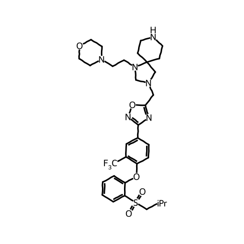 CC(C)CS(=O)(=O)c1ccccc1Oc1ccc(-c2noc(CN3CN(CCN4CCOCC4)C4(CCNCC4)C3)n2)cc1C(F)(F)F